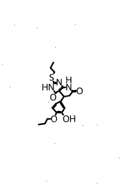 CCCOc1ccc(C2CC(=O)Nc3nc(SCCC)[nH]c(=O)c32)cc1O